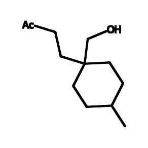 CC(=O)CCC1(CO)CCC(C)CC1